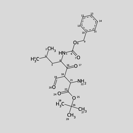 CC(C)CC(NC(=O)OCc1ccccc1)C(=O)C(C=O)C(N)C(=O)OC(C)(C)C